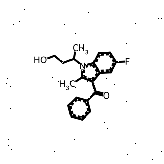 Cc1c(C(=O)c2ccccc2)c2cc(F)ccc2n1C(C)CCO